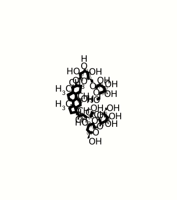 C[C@H](CC[C@@H](O[C@@H]1O[C@H](CO)[C@@H](O)[C@H](O)[C@H]1O[C@@H]1C[C@H](O)C[C@H](CO)O1)C(C)(C)O)C1CC[C@@]2(C)C3CC=C4C(CC[C@H](O[C@@H]5O[C@H](CO[C@@H]6O[C@H](CO)[C@@H](O)[C@H](O)[C@H]6O)[C@@H](O)[C@H](O)[C@H]5O)C4(C)C)[C@]3(C)[C@H](O)C[C@]12C